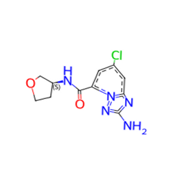 Nc1nc2cc(Cl)cc(C(=O)N[C@H]3CCOC3)n2n1